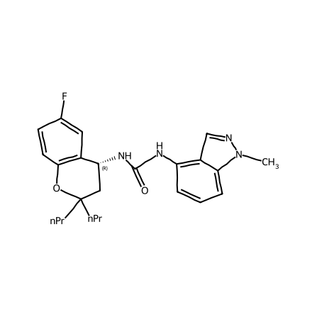 CCCC1(CCC)C[C@@H](NC(=O)Nc2cccc3c2cnn3C)c2cc(F)ccc2O1